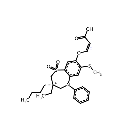 CCCC[C@@]1(CC)CN(c2ccccc2)c2cc(SC)c(O/C=C\C(=O)O)cc2S(=O)(=O)C1